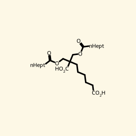 CCCCCCCC(=O)OCC(CCCCCC(=O)O)(COC(=O)CCCCCCC)C(=O)O